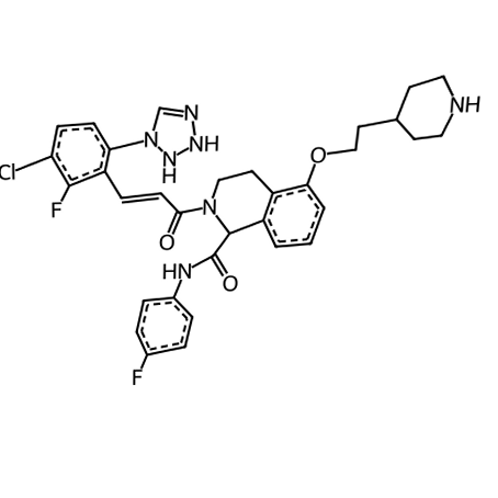 O=C(Nc1ccc(F)cc1)C1c2cccc(OCCC3CCNCC3)c2CCN1C(=O)/C=C/c1c(N2C=NNN2)ccc(Cl)c1F